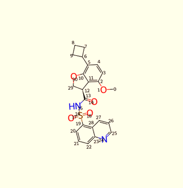 COc1ccc(C2CCC2)c2c1[C@@H](C(=O)NS(=O)(=O)c1cccc3ncccc13)CO2